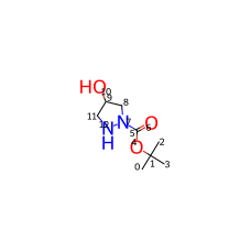 CC(C)(C)OC(=O)N1CC(O)CN1